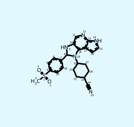 CS(=O)(=O)c1ccc(C2Nc3cnc4[nH]ccc4c3N2C2CCC(C#N)CC2)cc1